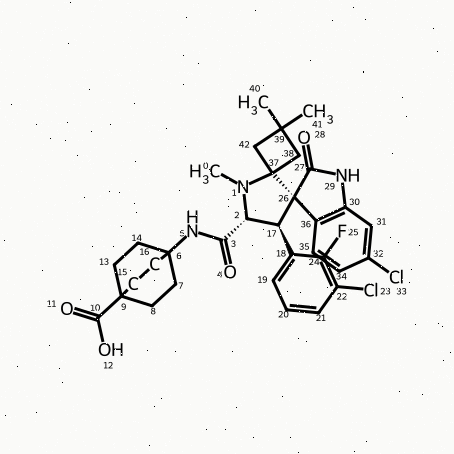 CN1[C@@H](C(=O)NC23CCC(C(=O)O)(CC2)CC3)[C@H](c2cccc(Cl)c2F)[C@]2(C(=O)Nc3cc(Cl)ccc32)C12CC(C)(C)C2